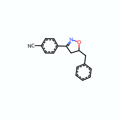 N#Cc1ccc(C2=NOC(Cc3ccccc3)C2)cc1